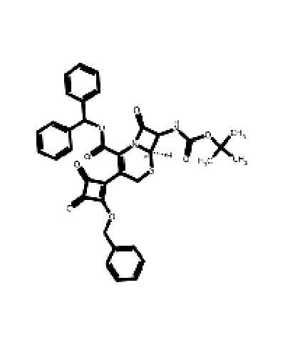 CC(C)(C)OC(=O)NC1C(=O)N2C(C(=O)OC(c3ccccc3)c3ccccc3)=C(c3c(OCc4ccccc4)c(=O)c3=O)CS[C@H]12